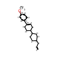 C=CCC1CCC(C2CC=C(c3ccc(OC(F)(F)F)cc3)CC2)CC1